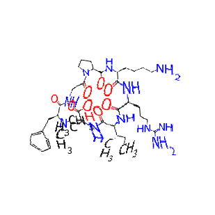 CC[C@H](C)[C@H](NC(=O)[C@H](CCCNC(=N)N)NC(=O)[C@H](CCCCN)NC(=O)[C@@H]1CCCN1C(=O)CNC(=O)[C@H](Cc1ccccc1)N(C)C)C(=O)N[C@@H](C)C(=O)O